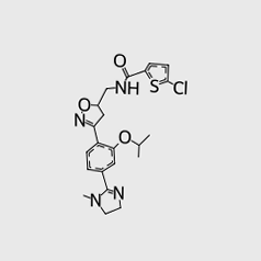 CC(C)Oc1cc(C2=NCCN2C)ccc1C1=NOC(CNC(=O)c2ccc(Cl)s2)C1